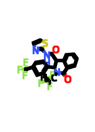 CN1C(=O)c2ccccc2C(C(=O)Nc2nccs2)C1c1ccc(C(F)(F)F)cc1C(F)(F)F